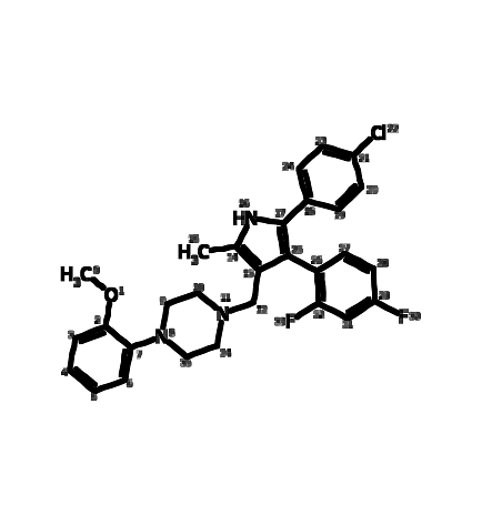 COc1ccccc1N1CCN(Cc2c(C)[nH]c(-c3ccc(Cl)cc3)c2-c2ccc(F)cc2F)CC1